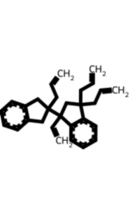 C=CCC1(CC=C)CC(C=C)(C2(CC=C)Cc3ccccc3C2)c2ccccc21